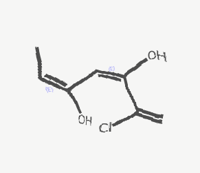 C=C(Cl)/C(O)=C\C(O)=C/C